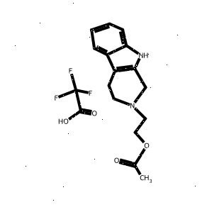 CC(=O)OCCN1CCc2c([nH]c3ccccc23)C1.O=C(O)C(F)(F)F